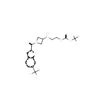 CC(C)(C)OC(=O)NCCNC1CN(C(=O)c2cc3ccc(C(F)(F)F)cc3s2)C1